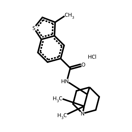 Cc1csc2ccc(C(=O)NC3C4CCN(CC4)C3(C)C)cc12.Cl